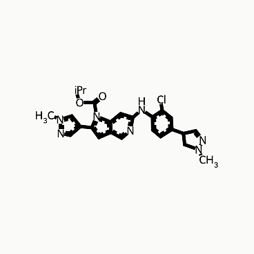 CC(C)OC(=O)n1c(-c2cnn(C)c2)cc2cnc(Nc3ccc(C4C=NN(C)C4)cc3Cl)cc21